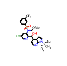 COCN(c1cc(Cl)cnc1C(O)c1ccnc2c1ccn2[Si](C)(C)C(C)(C)C)S(=O)(=O)c1cccc(C(F)(F)F)c1